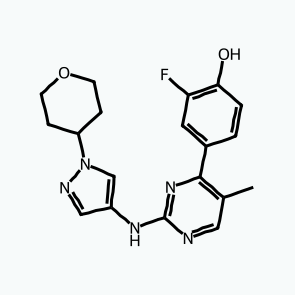 Cc1cnc(Nc2cnn(C3CCOCC3)c2)nc1-c1ccc(O)c(F)c1